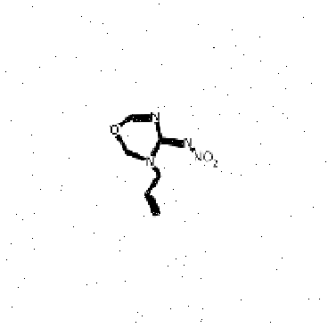 C=CCN1COC=NC1=N[N+](=O)[O-]